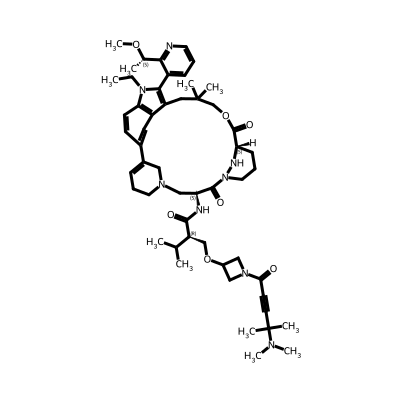 CCn1c(-c2cccnc2[C@H](C)OC)c2c3cc(ccc31)C1=CCCN(C1)C[C@H](NC(=O)[C@@H](COC1CN(C(=O)C#CC(C)(C)N(C)C)C1)C(C)C)C(=O)N1CCC[C@H](N1)C(=O)OCC(C)(C)C2